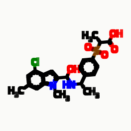 Cc1cc(Cl)c2cc(C(O)N[C@H](C)c3ccc(S(=O)(=O)C(C)C(=O)O)cc3)n(C)c2c1